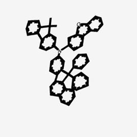 CC1(C)c2ccccc2-c2ccc(N(c3ccc4c(c3)C(c3ccccc3)(c3ccccc3)c3c-4ccc4ccccc34)c3ccc4c(c3)oc3ccccc34)cc21